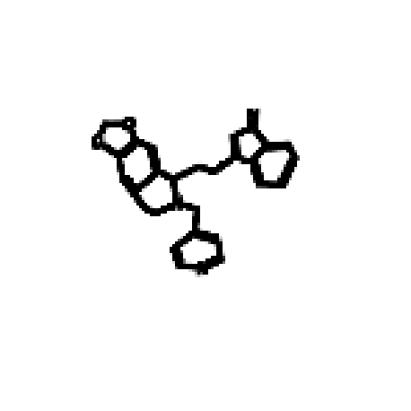 c1ccc2c(CCC3c4cc5c(cc4CCN3Cc3ccncc3)OCO5)c[nH]c2c1